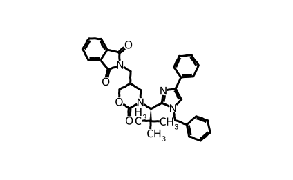 CC(C)(C)[C@H](c1nc(-c2ccccc2)cn1Cc1ccccc1)N1CC(CN2C(=O)c3ccccc3C2=O)COC1=O